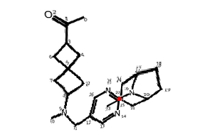 CC(=O)C1CC2(C1)CC(N(C)Cc1cnc(N3C4CCC3CN(C)C4)nc1)C2